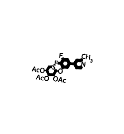 CC(=O)O[C@@H]1[C@@H](OC(C)=O)[C@H](OC(C)=O)CS[C@H]1Oc1cc(-c2ccnc(C)c2)cc(F)c1F